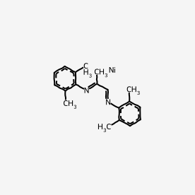 CC(C=Nc1c(C)cccc1C)=Nc1c(C)cccc1C.[Ni]